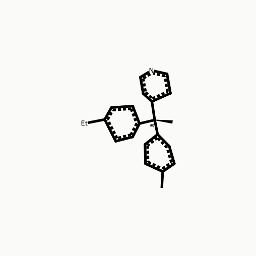 CCc1ccc([C@](C)(c2ccncc2)c2ccc(C)cc2)cc1